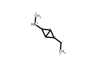 CCC1C2C(NC)C12